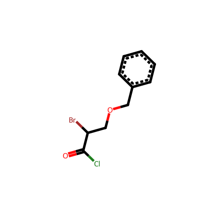 O=C(Cl)C(Br)COCc1ccccc1